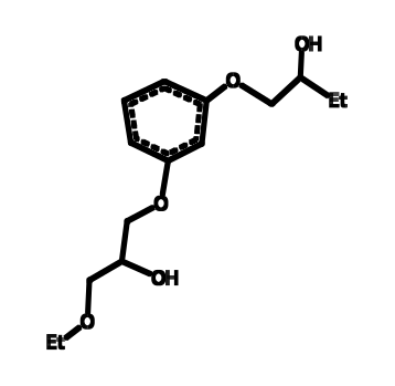 CCOCC(O)COc1cccc(OCC(O)CC)c1